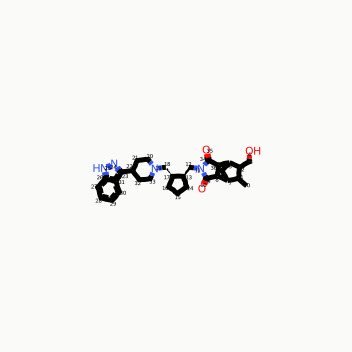 CC1C(CO)C2CC1C1C(=O)N(C[C@H]3CCC[C@@H]3CN3CCC(c4n[nH]c5ccccc45)CC3)C(=O)C21